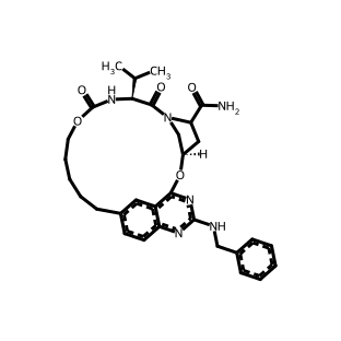 CC(C)[C@@H]1NC(=O)OCCCCCc2ccc3nc(NCc4ccccc4)nc(c3c2)O[C@@H]2CC(C(N)=O)N(C2)C1=O